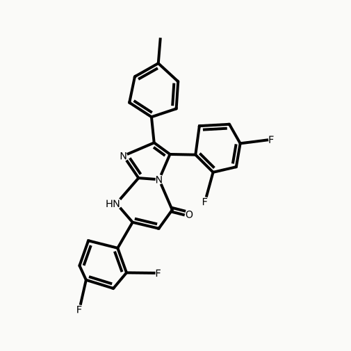 Cc1ccc(-c2nc3[nH]c(-c4ccc(F)cc4F)cc(=O)n3c2-c2ccc(F)cc2F)cc1